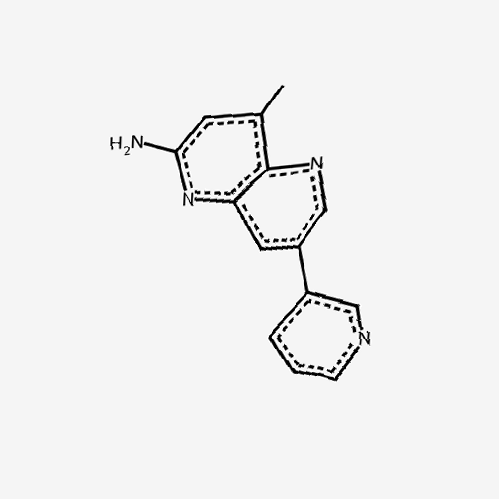 Cc1cc(N)nc2cc(-c3cccnc3)cnc12